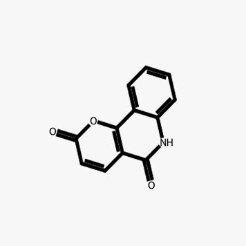 O=c1ccc2c(=O)[nH]c3ccccc3c2o1